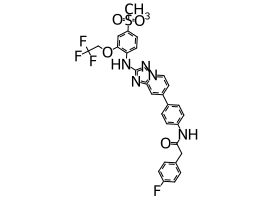 CS(=O)(=O)c1ccc(Nc2nc3cc(-c4ccc(NC(=O)Cc5ccc(F)cc5)cc4)ccn3n2)c(OCC(F)(F)F)c1